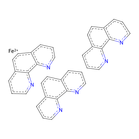 [Fe+2].c1cnc2c(c1)ccc1cccnc12.c1cnc2c(c1)ccc1cccnc12.c1cnc2c(c1)ccc1cccnc12